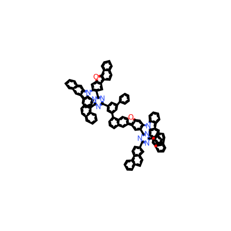 c1ccc(-c2cc(-c3nc(-c4cc5c(cc4-n4c6ccccc6c6cc7ccccc7cc64)oc4c6ccccc6ccc54)nc(-c4cccc5ccccc45)n3)cc(-c3cccc4cc5c(cc34)oc3cc(-n4c6ccccc6c6cc7ccccc7cc64)c(-c4nc(-c6ccc7c(ccc8ccccc87)c6)nc(-c6cccc7ccccc67)n4)cc35)c2)cc1